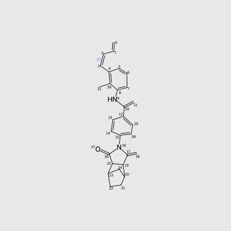 C=C/C=C\c1cccc(NC(=C)c2ccc(N3C(=C)C4C5CCC(C5)C4C3=O)cc2)c1C